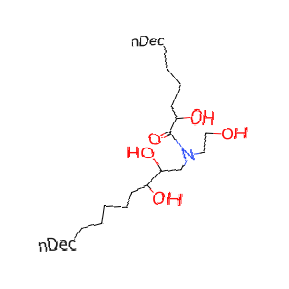 CCCCCCCCCCCCCCCC(O)C(O)CN(CCO)C(=O)C(O)CCCCCCCCCCCCCC